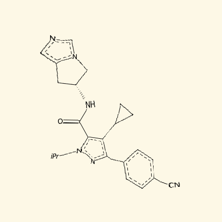 CC(C)n1nc(-c2ccc(C#N)cc2)c(C2CC2)c1C(=O)N[C@@H]1Cc2cncn2C1